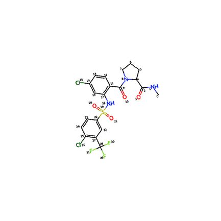 CNC(=O)C1CCCN1C(=O)c1ccc(Cl)cc1NS(=O)(=O)c1ccc(Cl)c(C(F)(F)F)c1